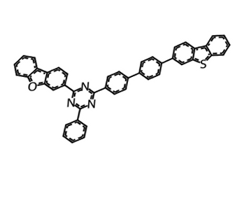 c1ccc(-c2nc(-c3ccc(-c4ccc(-c5ccc6c(c5)sc5ccccc56)cc4)cc3)nc(-c3ccc4c(c3)oc3ccccc34)n2)cc1